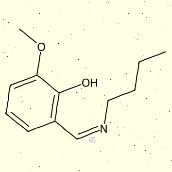 CCCC/N=C\c1cccc(OC)c1O